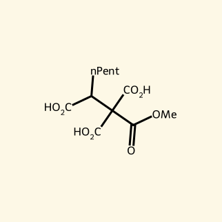 CCCCCC(C(=O)O)C(C(=O)O)(C(=O)O)C(=O)OC